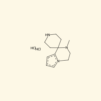 CN1CCn2cccc2C12CCNCC2.Cl.Cl